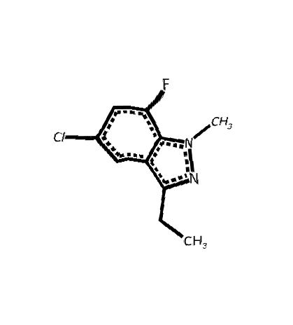 CCc1nn(C)c2c(F)cc(Cl)cc12